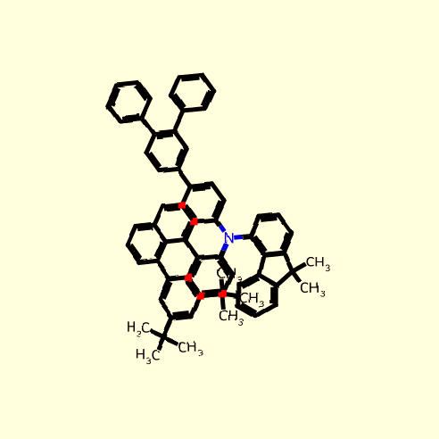 CC(C)(C)c1cc(-c2cccc3cccc(-c4ccccc4N(c4ccc(-c5ccc(-c6ccccc6)c(-c6ccccc6)c5)cc4)c4cccc5c4-c4ccccc4C5(C)C)c23)cc(C(C)(C)C)c1